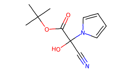 CC(C)(C)OC(=O)C(O)(C#N)n1cccc1